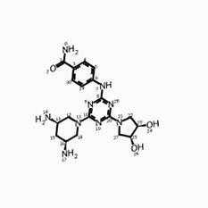 NC(=O)c1ccc(Nc2nc(N3C[C@H](N)C[C@H](N)C3)nc(N3C[C@@H](O)[C@@H](O)C3)n2)cc1